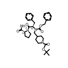 CC(C)(C)OC(=O)N1CCC(CN(C(=O)OCc2ccccc2)[C@H](Cc2ccccc2)C(=O)N2CCC[C@H]2C(N)=O)CC1